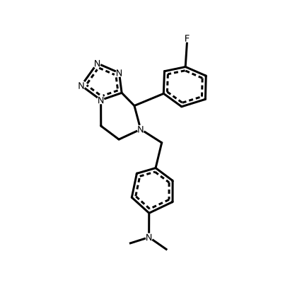 CN(C)c1ccc(CN2CCn3nnnc3C2c2cccc(F)c2)cc1